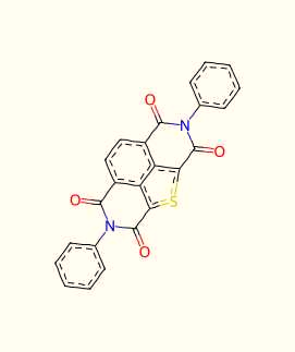 O=C1c2ccc3c4c(sc(c24)C(=O)N1c1ccccc1)C(=O)N(c1ccccc1)C3=O